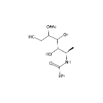 CCCC(=O)N[C@H](C)C(O)C(O)C(CO)OC